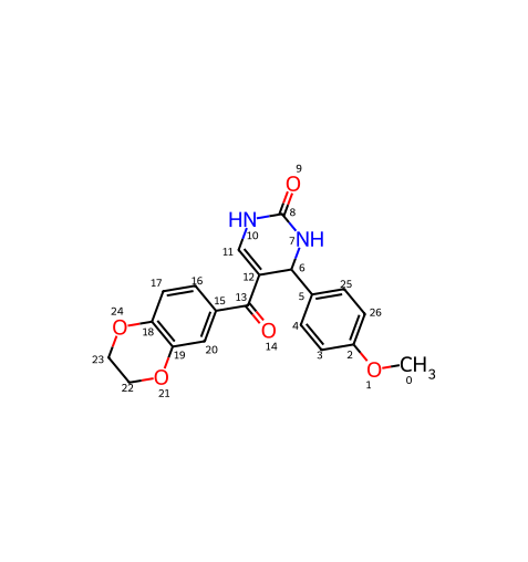 COc1ccc(C2NC(=O)NC=C2C(=O)c2ccc3c(c2)OCCO3)cc1